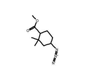 COC(=O)C1CCC(N=[N+]=[N-])CC1(C)C